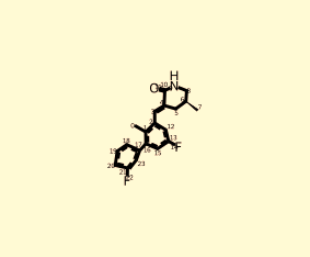 Cc1c(/C=C2\C[C@H](C)CNC2=O)cc(F)cc1-c1cccc(F)c1